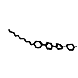 CCCCCCCCCCC1CC=C(c2ccc(-c3ccc([C@H]4CC[C@H](C)CC4)cc3)cc2)CC1